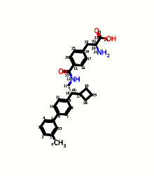 Cc1cccc(-c2ccc([C@H](CNC(=O)c3ccc(C[C@H](N)C(=O)O)cc3)C3CCC3)cc2)c1